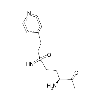 CC(=O)[C@@H](N)CCS(=N)(=O)CCc1ccncc1